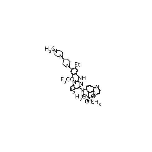 CCc1cc(Nc2nc(Nc3ccc4nccnc4c3N(C)S(C)(=O)=O)c3sccc3n2)c(OC(F)(F)F)cc1N1CCC(N2CCN(C)CC2)CC1